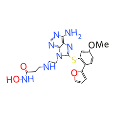 COc1ccc(-c2ccco2)c(Sc2nc3c(N)ncnc3n2CCNCCC(=O)NO)c1